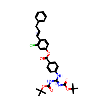 CC(C)(C)OC(=O)/N=C(/NC(=O)OC(C)(C)C)Nc1ccc(C(=O)Oc2ccc(/C=C/Cc3ccccc3)c(Cl)c2)cc1